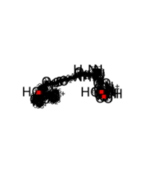 [N-]=[N+]=NCO[C@H]1C[C@H](n2cc(C#CCNC(=O)NCCCCCOCSSCCNC(=O)c3ccc(C(=O)O)c(C4=c5cc6c7c(c5Oc5c4cc4c8c5CCCN8CCC4)CCC[N+]=7CCC6)c3)c3c(N)ncnc32)O[C@@H]1COP(=O)(O)OP(=O)(O)OP(=O)(O)O